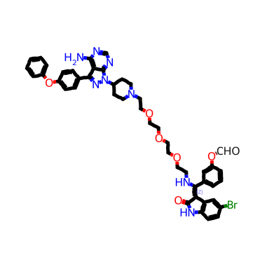 Nc1ncnc2c1c(-c1ccc(Oc3ccccc3)cc1)nn2C1CCN(CCOCCOCCOCCN/C(=C2\C(=O)Nc3ccc(Br)cc32)c2cccc(OC=O)c2)CC1